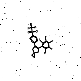 O=S(=O)(c1ccc(C2=C(c3c(F)c(F)c(F)c(F)c3F)CC3(CC3)C2)cc1)C(F)(F)F